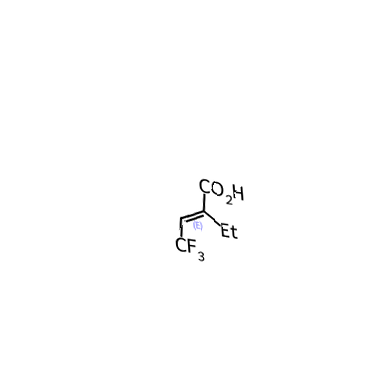 CC/C(=C\C(F)(F)F)C(=O)O